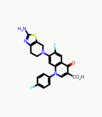 Nc1nc2c(s1)CN(c1cc3c(cc1F)c(=O)c(C(=O)O)cn3-c1ccc(F)cc1)CC2